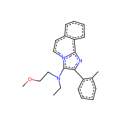 CCN(CCOC)c1c(-c2ccccc2C)nc2c3ccccc3ccn12